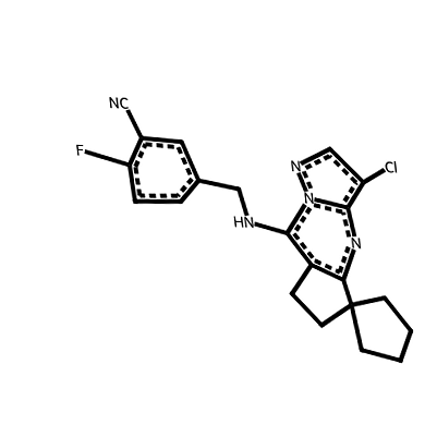 N#Cc1cc(CNc2c3c(nc4c(Cl)cnn24)C2(CCCC2)CC3)ccc1F